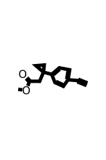 C#Cc1ccc(C2(CC(=O)OC)CC2)cc1